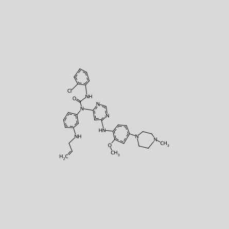 C=CCNc1cccc(N(C(=O)Nc2ccccc2Cl)c2cc(Nc3ccc(N4CCN(C)CC4)cc3OC)ncn2)c1